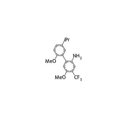 COc1ccc(C(C)C)cc1-c1cc(OC)c(C(F)(F)F)cc1N